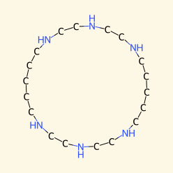 C1CCNCCNCCNCCCCCNCCNCCNCC1